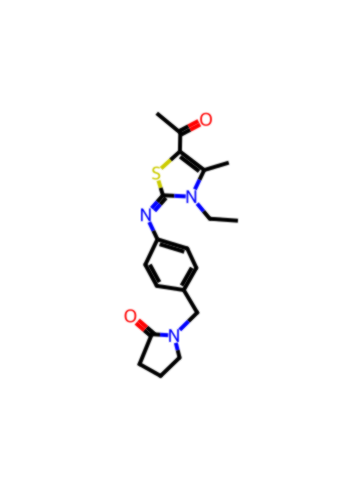 CCn1c(C)c(C(C)=O)sc1=Nc1ccc(CN2CCCC2=O)cc1